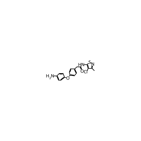 Cc1nsc(NC(=O)Cc2ccc(Oc3ccc(N)cc3)cc2)c1Cl